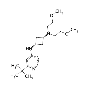 COCCN(CCOC)[C@H]1C[C@@H](Nc2cc(C(C)(C)C)ncn2)C1